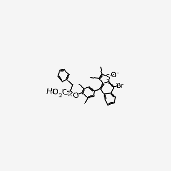 Cc1cc(-c2c3ccccc3c(Br)c3c2c(C)c(C)[s+]3[O-])cc(C)c1O[C@H](Cc1ccccc1)C(=O)O